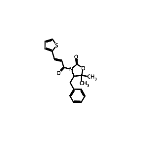 CC1(C)OC(=O)N(C(=O)C=Cc2cccs2)C1Cc1ccccc1